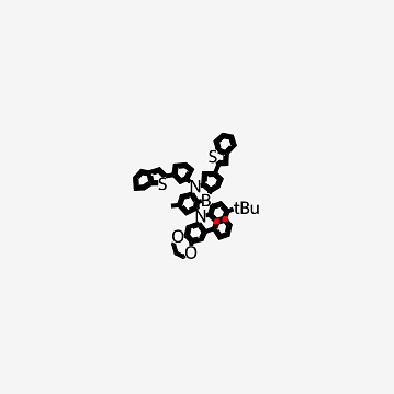 Cc1cc2c3c(c1)N(c1cc4c(cc1-c1ccccc1)OCCCO4)c1ccc(C(C)(C)C)cc1B3c1ccc(-c3cc4ccccc4s3)cc1N2c1cccc(-c2cc3ccccc3s2)c1